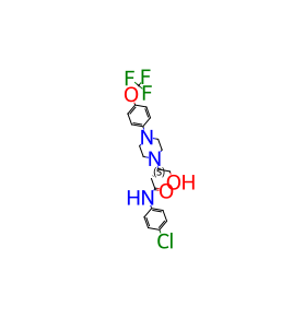 O=C(C[C@@H](CO)N1CCN(c2ccc(OC(F)(F)F)cc2)CC1)Nc1ccc(Cl)cc1